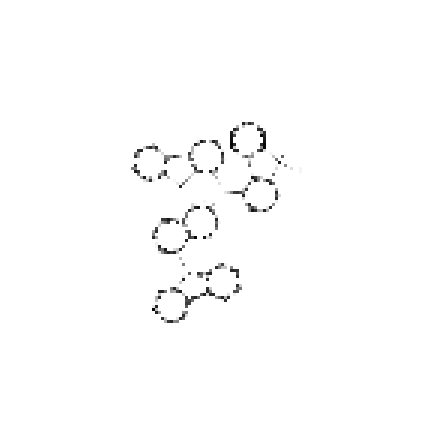 CC1(C)c2ccccc2-c2c(N(c3ccc4c(-n5c6ccccc6c6ccccc65)cccc4c3)c3cccc4c3C(C)(C)c3ccccc3-4)cccc21